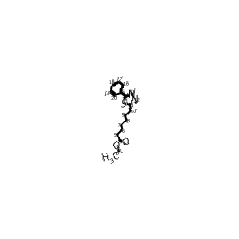 CCOC(=O)CCCCCCc1nnc(-c2ccccc2)s1